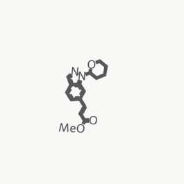 COC(=O)/C=C/c1ccc2cnn(C3CCCCO3)c2c1